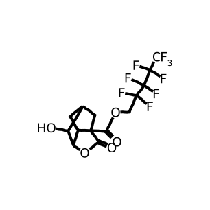 O=C(OCC(F)(F)C(F)(F)C(F)(F)C(F)(F)F)C12CC3CC1C(OC2=O)C3O